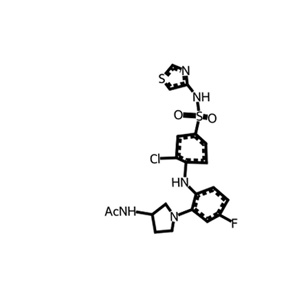 CC(=O)NC1CCN(c2cc(F)ccc2Nc2ccc(S(=O)(=O)Nc3cscn3)cc2Cl)C1